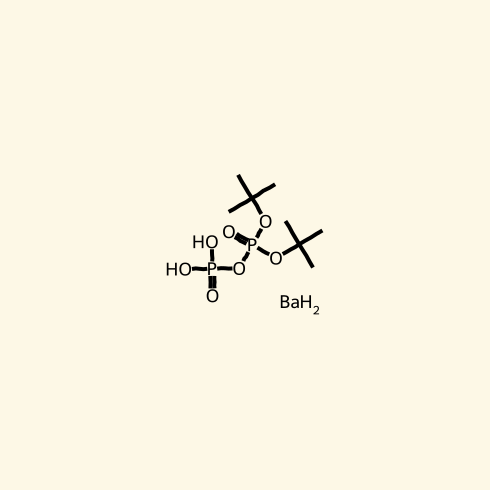 CC(C)(C)OP(=O)(OC(C)(C)C)OP(=O)(O)O.[BaH2]